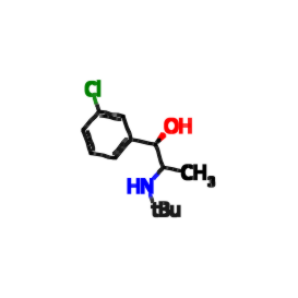 CC(NC(C)(C)C)[C@H](O)c1cccc(Cl)c1